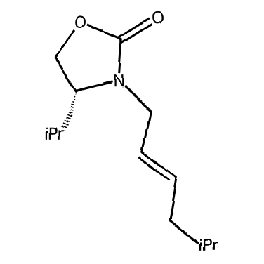 CC(C)CC=CCN1C(=O)OC[C@H]1C(C)C